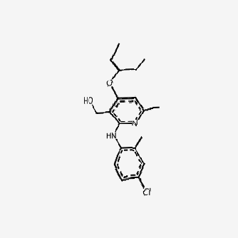 CCC(CC)Oc1cc(C)nc(Nc2ccc(Cl)cc2C)c1CO